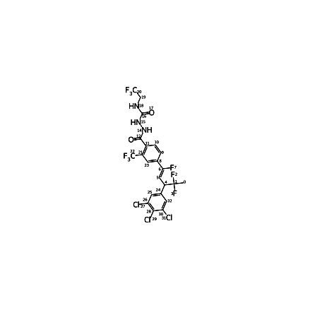 CC(F)(F)C(C=C(F)c1ccc(C(=O)NNC(=O)NCC(F)(F)F)c(C(F)(F)F)c1)c1cc(Cl)c(Cl)c(Cl)c1